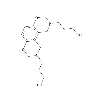 OCCCN1COc2ccc3c(c2C1)CN(CCCO)CO3